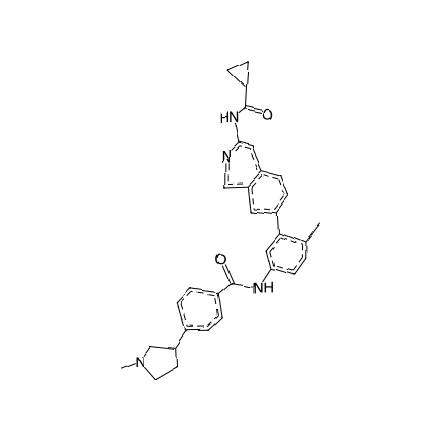 Cc1ccc(NC(=O)c2ccc(C3CCN(C)C3)cc2)cc1-c1ccc2cc(NC(=O)C3CC3)ncc2c1